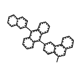 Cc1cc2ccccc2c2cc(-c3c4ccccc4c(-c4ccc5ccccc5c4)c4ccccc34)ccc12